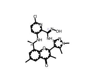 Cc1cc([C@@H](C)Nc2ccc(Cl)nc2/C(N)=N/O)c2oc(-c3cnn(C)c3C)c(C)c(=O)c2c1